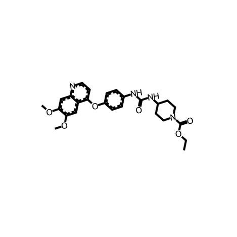 CCOC(=O)N1CCC(NC(=O)Nc2ccc(Oc3ccnc4cc(OC)c(OC)cc34)cc2)CC1